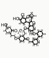 O=C(O)[C@@H](Cc1cc(OCCN2CCN(O)CC2)ccc1OCc1ccnc(-c2ccccc2O)n1)Oc1ncnc2oc(C3CCC3)c(-c3ccc(O)c(Cl)c3O)c12